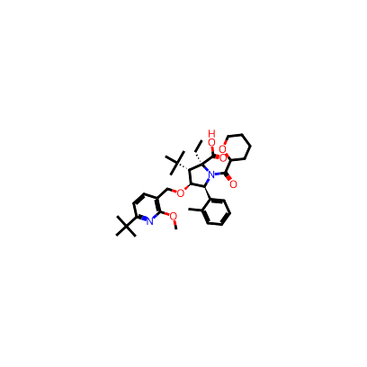 CC[C@@]1(C(=O)O)[C@@H](C(C)(C)C)[C@H](OCc2ccc(C(C)(C)C)nc2OC)[C@H](c2ccccc2C)N1C(=O)C1CCCCO1